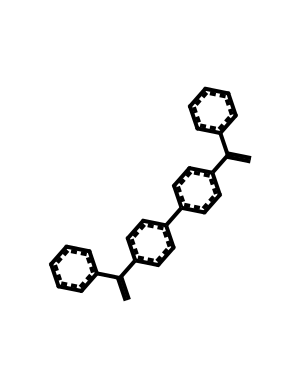 C=C(c1ccccc1)c1ccc(-c2ccc(C(=C)c3ccccc3)cc2)cc1